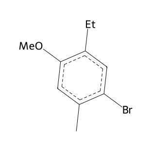 CCc1cc(Br)c(C)cc1OC